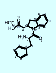 Cl.N[C@@H](Cc1ccccc1)C(=O)N1c2ccccc2C[C@@H]1CC(=O)O